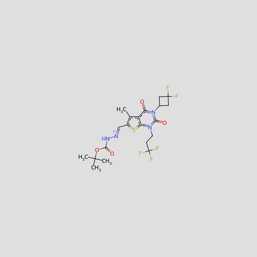 Cc1c(/C=N/NC(=O)OC(C)(C)C)sc2c1c(=O)n(C1CC(F)(F)C1)c(=O)n2CCC(F)(F)F